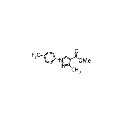 COC(=O)c1cn(-c2ccc(C(F)(F)F)cc2)nc1C